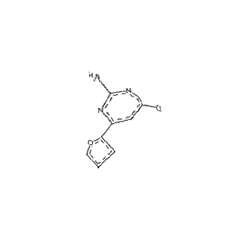 Nc1nc(Cl)cc(-c2ccco2)n1